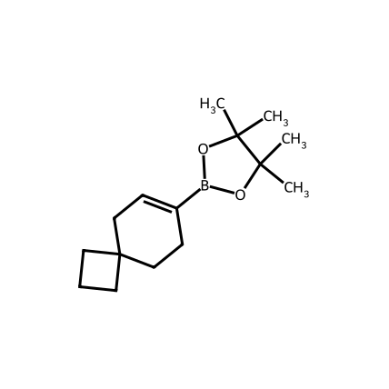 CC1(C)OB(C2=CCC3(CCC3)CC2)OC1(C)C